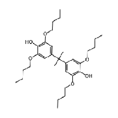 CCCCOc1cc(C(C)(C)c2cc(OCCCC)c(O)c(OCCCC)c2)cc(OCCCC)c1O